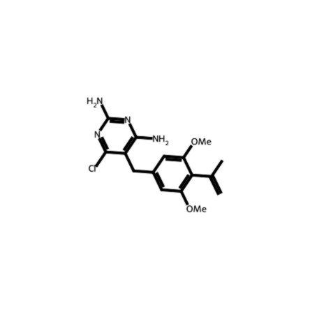 C=C(C)c1c(OC)cc(Cc2c(N)nc(N)nc2Cl)cc1OC